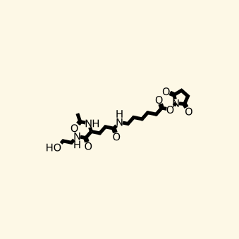 CC(=O)NC(CCC(=O)NCCCCCC(=O)ON1C(=O)CCC1=O)C(=O)NCCO